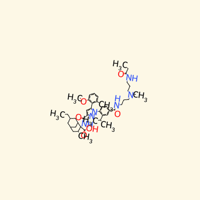 CCC(=O)NCCCN(C)CCCNC(=O)c1ccc(-n2nc(C(=O)NC3(C(=O)O)C(C)CC4CC(CC)CC3C4)cc2-c2c(C)cccc2OC)c(C(C)C)c1